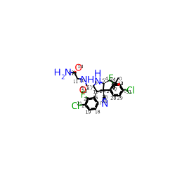 CC(C)(C)C[C@@H]1N[C@@H](C(=O)NCC(N)=O)[C@H](c2cccc(Cl)c2F)[C@@]1(C#N)c1ccc(Cl)cc1F